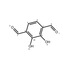 O=Cc1ccc(C=O)c(O)c1O